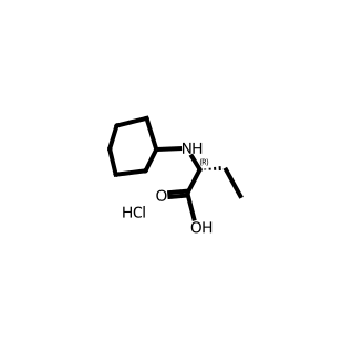 CC[C@@H](NC1CCCCC1)C(=O)O.Cl